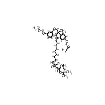 COCOc1ccc(C2(C)COc3cc(OCOC)ccc3C2CCCCCCCCCNS(=O)(=O)NC(=O)OC(C)(C)C)cc1